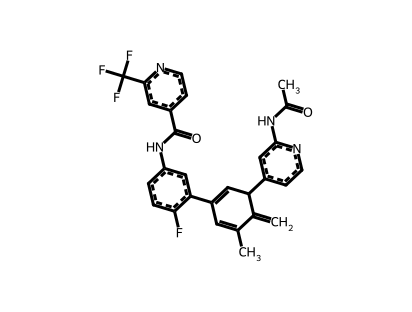 C=C1C(C)=CC(c2cc(NC(=O)c3ccnc(C(F)(F)F)c3)ccc2F)=CC1c1ccnc(NC(C)=O)c1